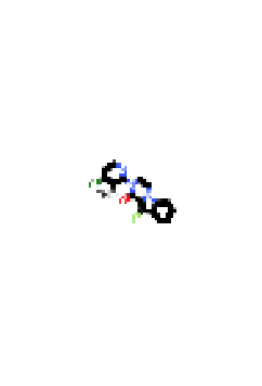 O=Cc1c(Cl)ccnc1-n1ccn2c(c(F)c3ccccc32)c1=O